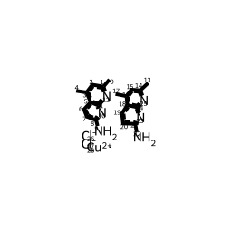 Cc1cc(C)c2ccc(N)nc2n1.Cc1cc(C)c2ccc(N)nc2n1.[Cl-].[Cl-].[Cu+2]